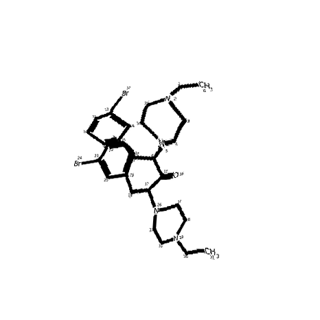 CCN1CCN(C(Cc2cccc(Br)c2)C(=O)C(Cc2cccc(Br)c2)N2CCN(CC)CC2)CC1